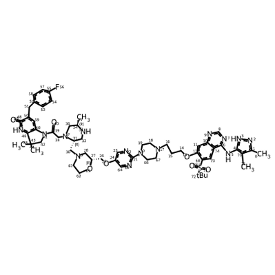 Cc1n[nH]c(Nc2ncnc3cc(OCCCN4CCN(c5ncc(OC[C@H]6CN(C[C@H]7CN[C@H](C)CN7CC(=O)N7CC(C)(C)c8[nH]c(=O)c(Cc9ccc(F)cc9)cc87)CCO6)cn5)CC4)c(S(=O)(=O)C(C)(C)C)cc23)c1C